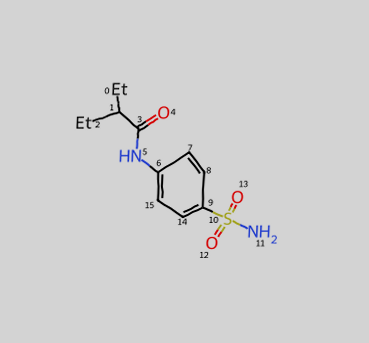 CCC(CC)C(=O)Nc1ccc(S(N)(=O)=O)cc1